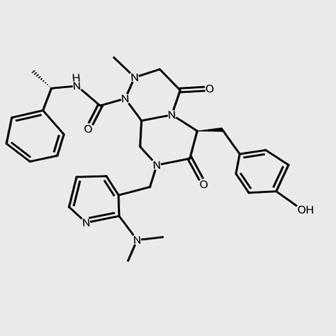 C[C@H](NC(=O)N1C2CN(Cc3cccnc3N(C)C)C(=O)[C@H](Cc3ccc(O)cc3)N2C(=O)CN1C)c1ccccc1